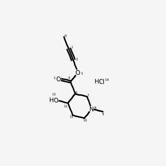 CC#COC(=O)C1CN(C)CCC1O.Cl